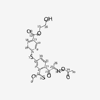 COC(=S)c1cc(Sc2ccc(C(=O)OCCO)cc2)ccc1C(=O)/C(C)=N/OC(C)=O